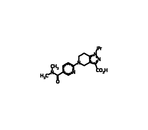 CC(C)n1nc(C(=O)O)c2c1CCN(c1ccc(C(=O)N(C)C)cn1)C2